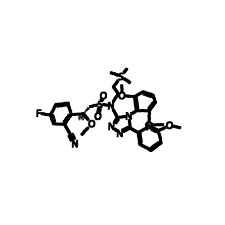 COc1cccc(-c2nnc(N(CCS(C)(C)C)S(=O)(=O)C[C@H](OC)c3ccc(F)cc3C#N)n2-c2c(OC)cccc2OC)n1